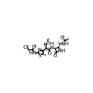 CON=C(C(=O)N[C@@H]1C(=O)N[C@@H]1CNC(C)=O)c1csc(NC(=O)CCl)n1